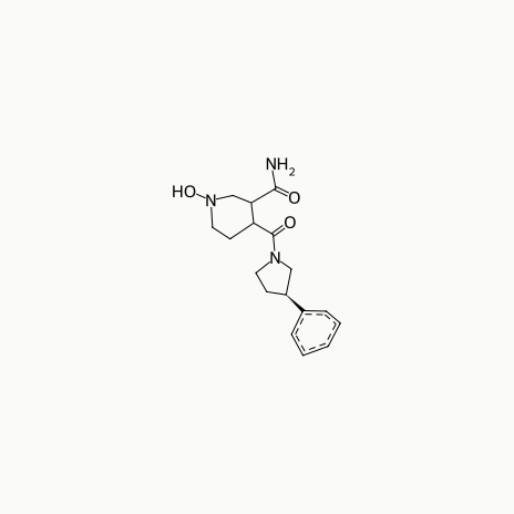 NC(=O)C1CN(O)CCC1C(=O)N1CC[C@H](c2ccccc2)C1